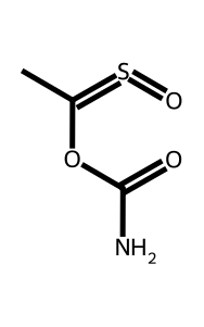 CC(OC(N)=O)=S=O